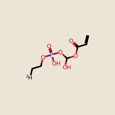 [2H]CCOP(=O)(O)OC(O)OC(=O)C=C